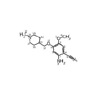 COc1cc(C#N)c(N)cc1OCC1CCN(C)CC1